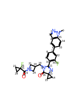 Cn1ncc2cc(-c3ccc(C4=NC5(CC5)C(=O)N4CC4CN(C(=O)C5(F)CC5)C4)c(F)c3)ccc21